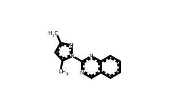 Cc1cc(C)n(-c2n[c]c3ccccc3n2)n1